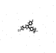 CCc1nc(-c2nc(-c3ccc(F)cc3)c(-c3ccc(S(C)(=O)=O)cc3)s2)cs1